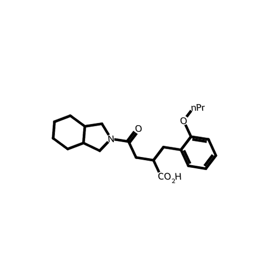 CCCOc1ccccc1CC(CC(=O)N1CC2CCCCC2C1)C(=O)O